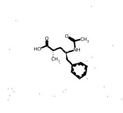 CC(=O)N[C@@H](Cc1ccccc1)C[C@H](C)C(=O)O